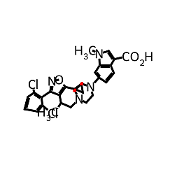 CC(CN1CCN(c2ccc3c(C(=O)O)cn(C)c3c2)CC1)c1c(-c2c(Cl)cccc2Cl)noc1C1CC1